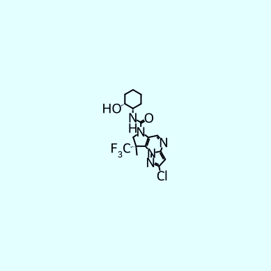 C[C@@]1(C(F)(F)F)CN(C(=O)N[C@@H]2CCCC[C@H]2O)c2cnc3cc(Cl)nn3c21